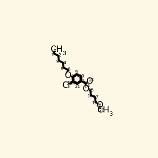 CCCCCCCOc1ccc(C(=O)OCCCCOC)cc1Cl